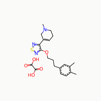 Cc1ccc(CCCOc2nsnc2C2=CCCN(C)C2)cc1C.O=C(O)C(=O)O